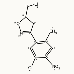 Cc1cc([N+](=O)[O-])c(Cl)cc1C1=NOC(CCl)C1